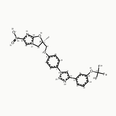 C[C@]1(COc2ccc(-n3cc(-c4cccc(OC(F)(F)F)c4)nn3)cc2)Cn2cc([N+](=O)[O-])nc2O1